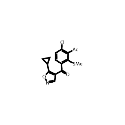 CSc1c(C(=O)c2cnoc2C2CC2)ccc(Cl)c1C(C)=O